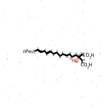 CCCCCC=CCC=CCCCCCCCCC(O)(CC(=O)O)CC(=O)O